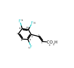 O=C(O)C=Cc1c(F)ccc(F)c1F